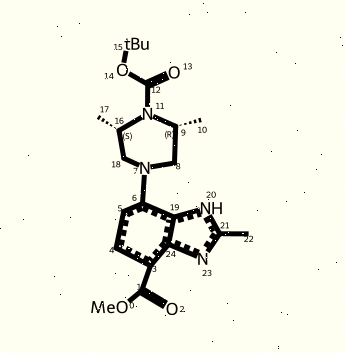 COC(=O)c1ccc(N2C[C@@H](C)N(C(=O)OC(C)(C)C)[C@@H](C)C2)c2[nH]c(C)nc12